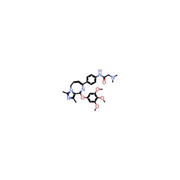 COc1cc(O/C2=N/C(c3ccc(NC(=O)CN(C)C)cc3)=C=CCn3c(C)nc(C)c32)cc(OC)c1OC